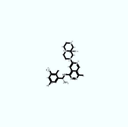 Cc1c([C@@H](N)Nc2nnc(C)c3cnc(N4CCN5CCOC[C@@H]5C4)cc23)cc(F)cc1C(F)(F)F